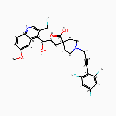 COc1ccc2ncc(CF)c(C(O)CCC3(C(=O)O)CCN(CC#Cc4c(F)cc(F)cc4F)CC3)c2c1